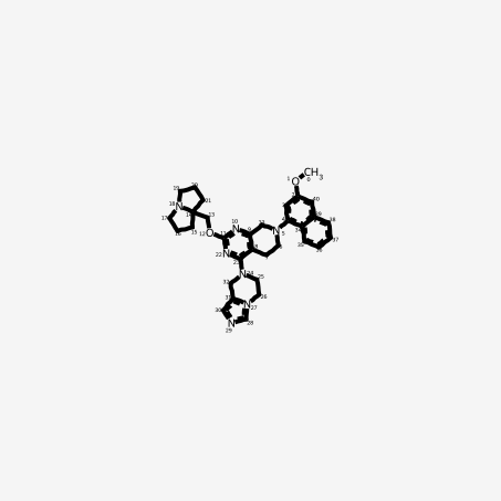 COc1cc(N2CCc3c(nc(OCC45CCCN4CCC5)nc3N3CCn4cncc4C3)C2)c2ccccc2c1